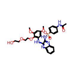 COc1cc(Nc2nc3ccccc3nc2NS(=O)(=O)c2ccc(NC(C)=O)cc2)c(OCCOCCO)c(OC)c1